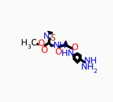 CCOC(=O)C(CNC(=O)C1CC1C(=O)Nc1ccc(C(=N)N)cc1)c1nccs1